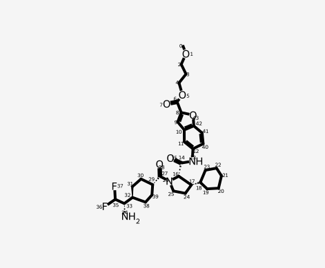 COCCCOC(=O)c1cc2cc(NC(=O)[C@@H]3[C@H](C4CCCCC4)CCN3C(=O)[C@H]3CC[C@H]([C@H](N)C(F)F)CC3)ccc2o1